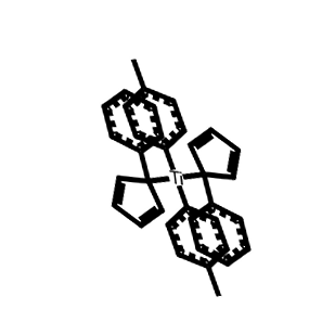 Cc1cc[c]([Ti]([c]2ccc(C)cc2)([C]2(c3ccccc3)C=CC=C2)[C]2(c3ccccc3)C=CC=C2)cc1